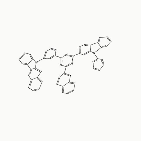 c1ccc(-n2c3ccccc3c3ccc(-c4nc(-c5cccc(-n6c7ccccc7c7cc8ccccc8cc76)c5)nc(-c5ccc6ccccc6c5)n4)cc32)cc1